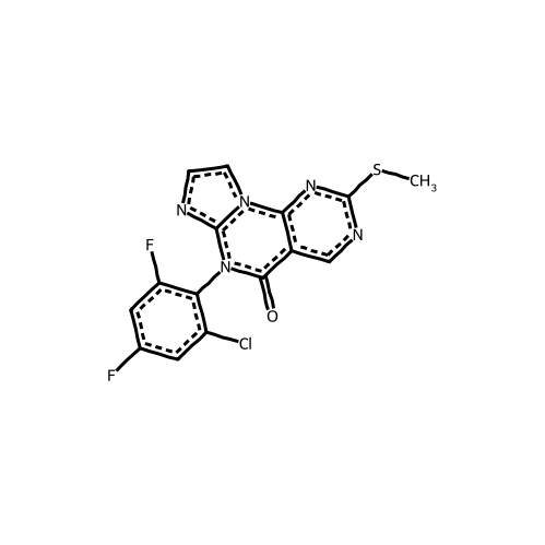 CSc1ncc2c(=O)n(-c3c(F)cc(F)cc3Cl)c3nccn3c2n1